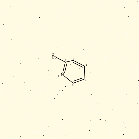 [CH2]Cc1[c]cccn1